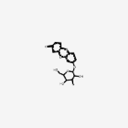 CC1C(O)C(CO)OC(Oc2ccc3nc4ccc(=O)cc-4oc3c2)C1O